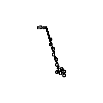 CCCCCCCCCCCCCCCCOCCOCCOCCOCCOCCOCCOC(=O)ON1C(=O)CCC1=O